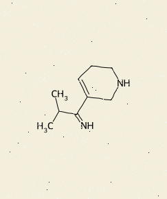 CC(C)C(=N)C1=CCCNC1